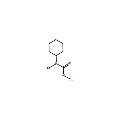 CC[N]C(=O)N(CC)C1CCCCC1